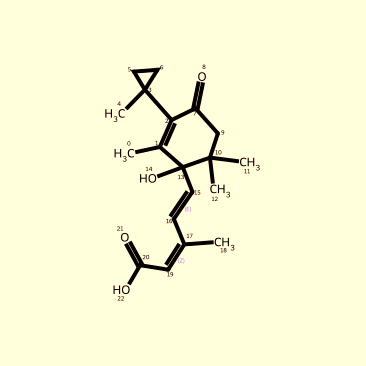 CC1=C(C2(C)CC2)C(=O)CC(C)(C)C1(O)/C=C/C(C)=C\C(=O)O